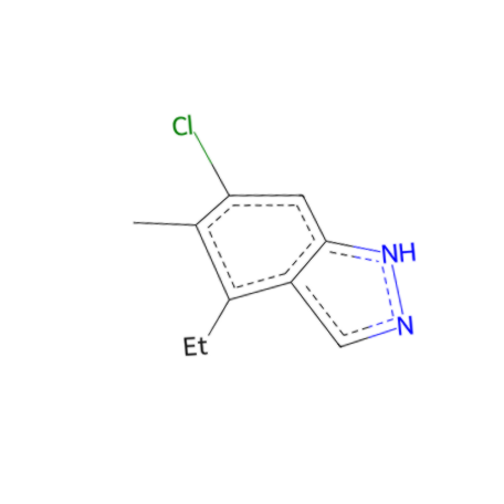 CCc1c(C)c(Cl)cc2[nH]ncc12